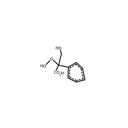 O=C(O)C(CO)(OO)c1ccccc1